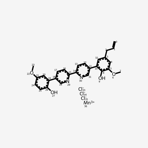 C=CCc1cc(OC)c(O)c(-c2ccc(-c3ccc(-c4cc(OC)ccc4O)cn3)nc2)c1.[Cl-].[Cl-].[Cl-].[Mn+3]